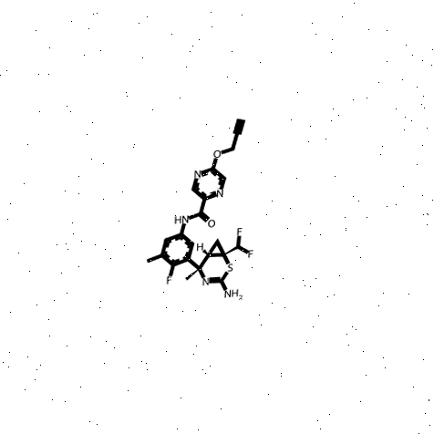 C#CCOc1cnc(C(=O)Nc2cc(C)c(F)c([C@@]3(C)N=C(N)S[C@@]4(C(F)F)C[C@@H]34)c2)cn1